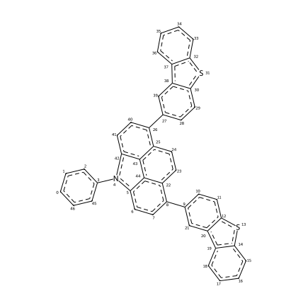 c1ccc(-n2c3ccc(-c4ccc5sc6ccccc6c5c4)c4ccc5c(-c6ccc7sc8ccccc8c7c6)ccc2c5c43)cc1